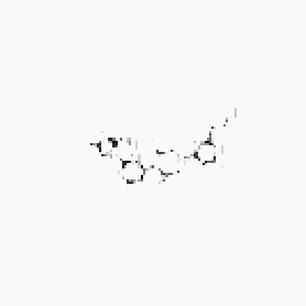 Cc1cn(-c2nccc(N3[C@H](C)CN(c4ccnc(CCO)n4)C[C@@H]3C)n2)c(C)n1